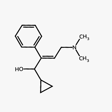 CN(C)C/C=C(\c1ccccc1)C(O)C1CC1